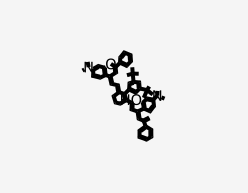 C=C(/C=C(/C=C/C1=C(c2cc(C(C)(C)C)cc(C(C)(C)C)c2)C(=C/C=C2\C=C(c3ccccc3)Oc3cc(N(C)C)ccc32)/CCC1)c1ccc(N(C)C)cc1O)c1ccccc1